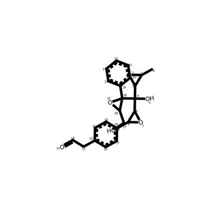 CC1OC1C(O)(C1OC1c1ccc(CC=O)cc1)C1(c2ccccc2)OC1CO